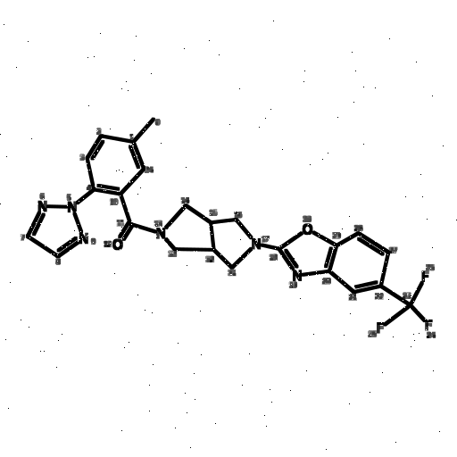 Cc1ccc(-n2nccn2)c(C(=O)N2CC3CN(c4nc5cc(C(F)(F)F)ccc5o4)CC3C2)c1